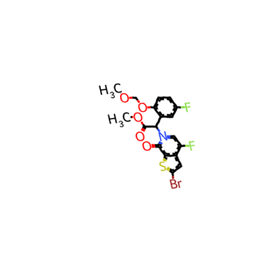 COCOc1ccc(F)cc1C(C(=O)OC)n1cc(F)c2cc(Br)sc2c1=O